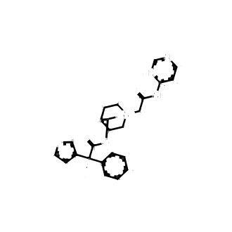 O=C(C[N+]12CCC(CC1)C(OC(=O)[C@@](O)(c1ccccc1)c1ccoc1)C2)Nc1ccncn1